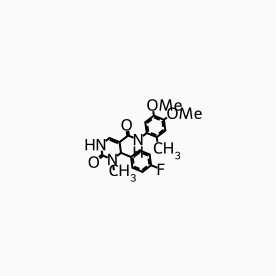 COc1cc(C)c(NC(=O)C2=CNC(=O)N(C)C2c2ccc(F)cc2)cc1OC